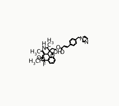 COC(=O)C1=C(C)NC(C)C(CCOC(=O)/C=C/c2ccc(Cn3ccnc3)cc2)(C(=O)O)C1c1ccccc1C(F)(F)F